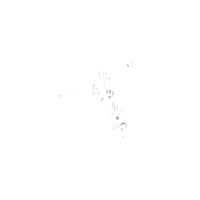 CCCCNCCNCCCC.F[P-](F)(F)(F)(F)F.F[P-](F)(F)(F)(F)F.F[P-](F)(F)(F)(F)F.[Ir+3]